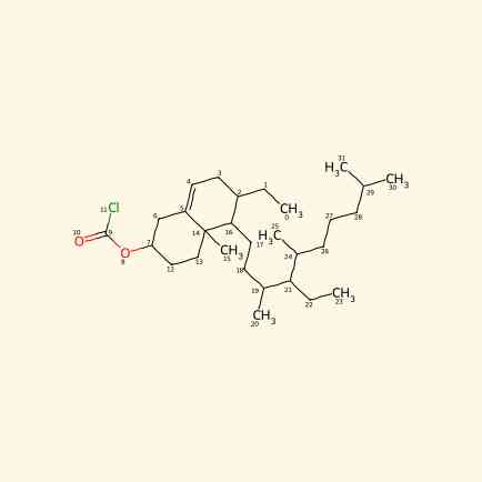 CCC1CC=C2CC(OC(=O)Cl)CCC2(C)C1CCC(C)C(CC)C(C)CCCC(C)C